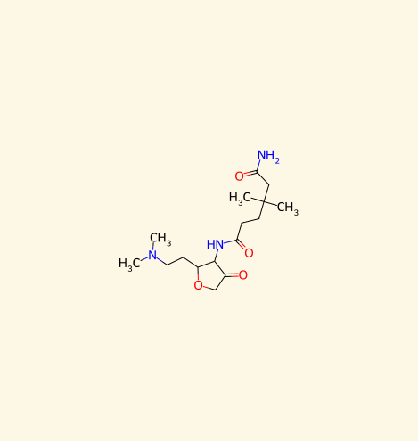 CN(C)CCC1OCC(=O)C1NC(=O)CCC(C)(C)CC(N)=O